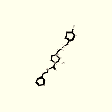 Cl.O=C(NCCc1ccccc1)N1CCN(CCCCc2ccc(F)cc2)CC1